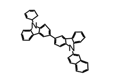 C1=CCC(n2c3ccccc3c3cc(-c4ccc5c(c4)c4ccccc4n5-c4ccc5ccccc5c4)ccc32)C=C1